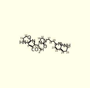 O=C(O)CC(c1ccc2c(n1)OCCN2)N1CCN(CCCC2C=CC3=CCCNC3=N2)C1=O